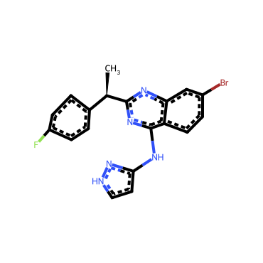 C[C@H](c1ccc(F)cc1)c1nc(Nc2cc[nH]n2)c2ccc(Br)cc2n1